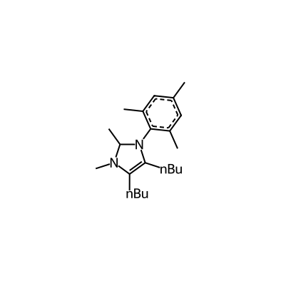 CCCCC1=C(CCCC)N(c2c(C)cc(C)cc2C)C(C)N1C